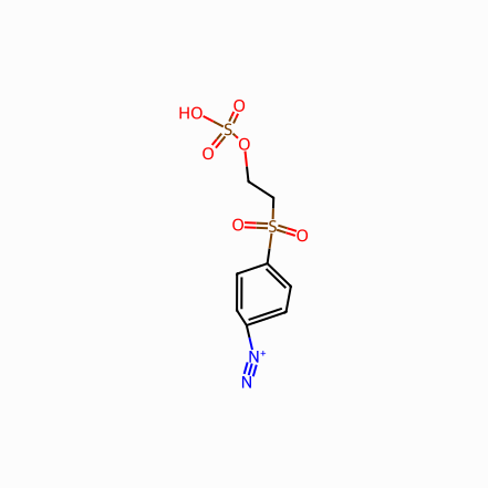 N#[N+]c1ccc(S(=O)(=O)CCOS(=O)(=O)O)cc1